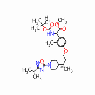 COC(=O)C(NC(=O)OC(C)(C)C)c1ccc(OCC[C@@H](C)C2CCN(c3nc(C(C)C)no3)CC2)cc1C